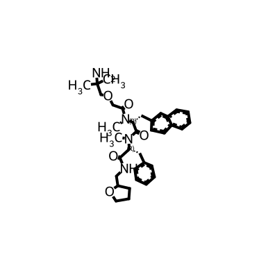 CN(C(=O)COCC(C)(C)N)[C@H](Cc1ccc2ccccc2c1)C(=O)N(C)[C@H](Cc1ccccc1)C(=O)NCC1CCCO1